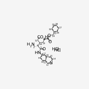 Cl.Cl.NC[C@@H](C(=O)Nc1ccc2cnccc2c1)C(CCC(=O)OCc1ccccc1)CC(=O)O